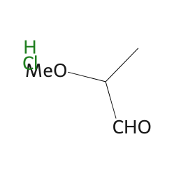 COC(C)C=O.Cl